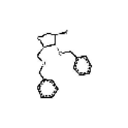 F[C@@H]1CO[C@H](COCc2ccccc2)[C@H]1OCc1ccccc1